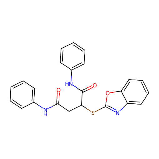 O=C(CC(Sc1nc2ccccc2o1)C(=O)Nc1ccccc1)Nc1ccccc1